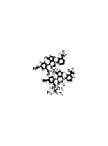 CN1C(=O)N(c2cccc(C(F)(F)F)c2)C2=C(C(=O)CC2)C1c1ccc(C#N)cc1CBr.CN1C(=O)N(c2cccc(C(F)(F)F)c2)C2=C(C(=O)CC2)[C@H]1c1ccc(C#N)cc1CNC(C)(C)C